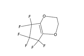 FC1(F)C2=C(OCCO2)C(F)(F)C1(F)F